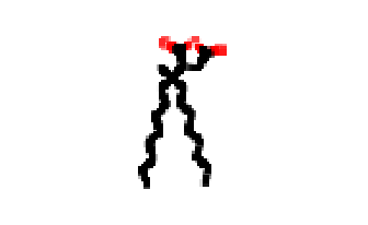 CCCCCCCCC(C)(CCCCCCCC)C1CC(=O)OC1=O